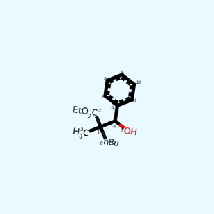 CCCCC(C)(C(=O)OCC)C(O)c1ccccc1